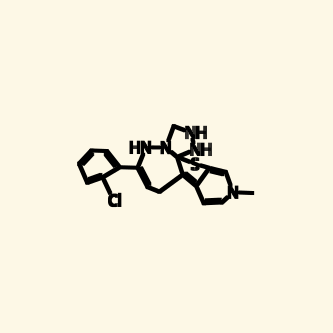 CN1C=CC2=C3CC=C(c4ccccc4Cl)NN4CNNC34SC2=C1